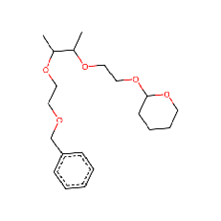 CC(OCCOCc1ccccc1)C(C)OCCOC1CCCCO1